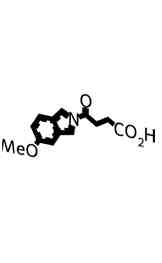 COc1ccc2cn(C(=O)CCC(=O)O)cc2c1